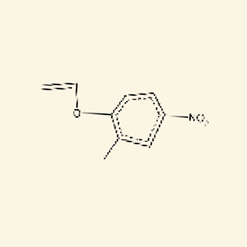 C=COc1ccc([N+](=O)[O-])cc1C